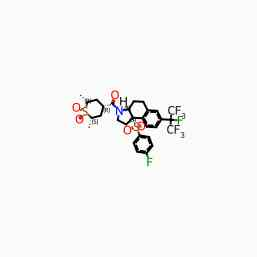 C[C@@H]1C[C@H](C(=O)N2CC[C@]3(S(=O)(=O)c4ccc(F)cc4)c4ccc(C(F)(C(F)(F)F)C(F)(F)F)cc4CC[C@H]23)C[C@H](C)S1(=O)=O